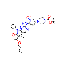 C=C(OCCCC)c1c(C)c2cnc(Nc3ccc(N4CCN(C(=O)OC(C)(C)C)CC4)c[n+]3[O-])nc2n(C2CCCC2)c1=O